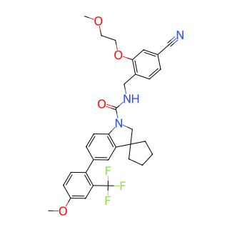 COCCOc1cc(C#N)ccc1CNC(=O)N1CC2(CCCC2)c2cc(-c3ccc(OC)cc3C(F)(F)F)ccc21